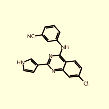 N#Cc1cccc(Nc2nc(-c3cc[nH]c3)nc3cc(Cl)ccc23)c1